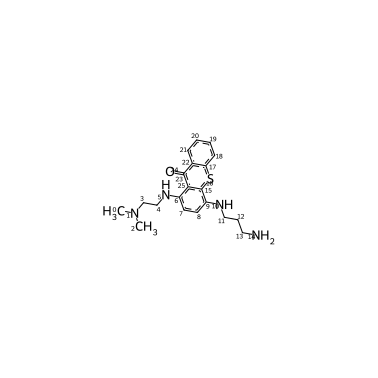 CN(C)CCNc1ccc(NCCCN)c2sc3ccccc3c(=O)c12